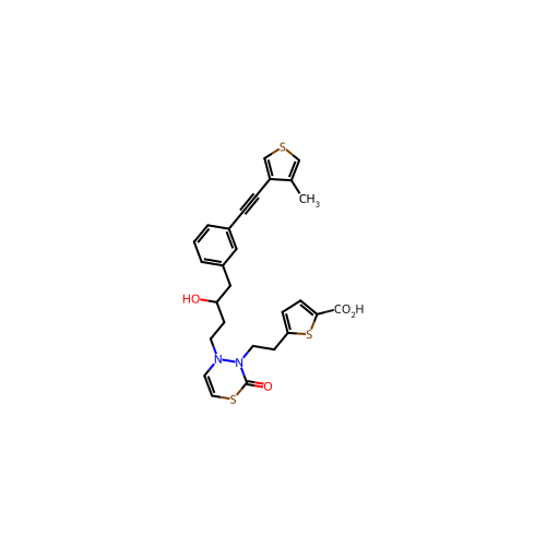 Cc1cscc1C#Cc1cccc(CC(O)CCN2C=CSC(=O)N2CCc2ccc(C(=O)O)s2)c1